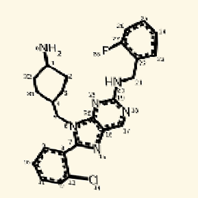 NC1CCC(Cn2c(-c3ccccc3Cl)nc3cnc(NCc4ccccc4F)nc32)CC1